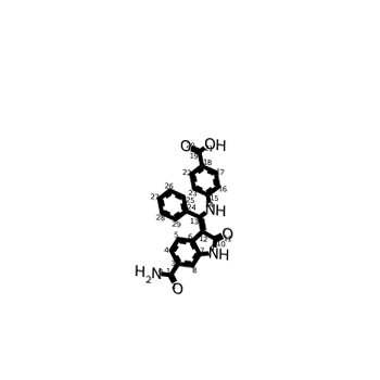 NC(=O)c1ccc2c(c1)NC(=O)/C2=C(\Nc1ccc(C(=O)O)cc1)c1ccccc1